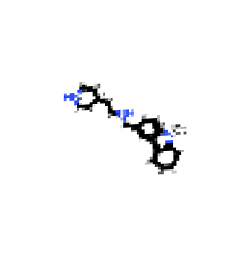 CCn1c2c(c3cc(CNCCC4CCNCC4)ccc31)CCCC2